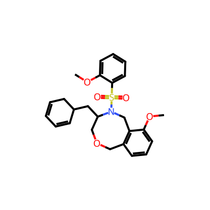 COc1ccccc1S(=O)(=O)N1Cc2c(cccc2OC)COCC1CC1C=CC=CC1